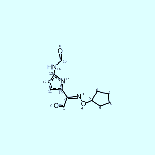 O=[C]/C(=N\OC1CCCC1)c1csc(NC=O)n1